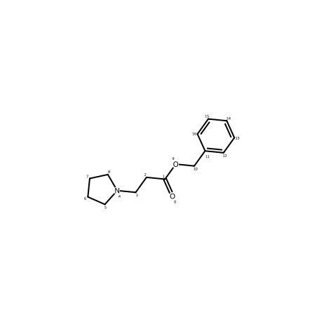 O=C(CCN1CCCC1)OCc1ccccc1